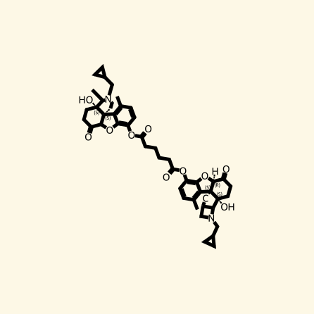 Cc1ccc(OC(=O)CCCCC(=O)Oc2ccc(C)c3c2O[C@H]2C(=O)CC[C@@]4(O)C5C(CN5CC5CC5)C[C@]324)c2c1[C@]13CCN(CC4CC4)C(C)[C@]1(O)CCC(=O)C3O2